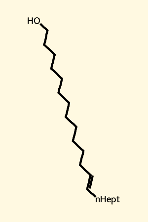 CCCCCCCC=CCCCCCCCCCCCCO